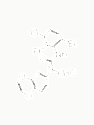 CCC1=C(NC(=O)N(C=O)c2ccc3c(c2)OC=CO3)C(CC)C(Cl)C=C1